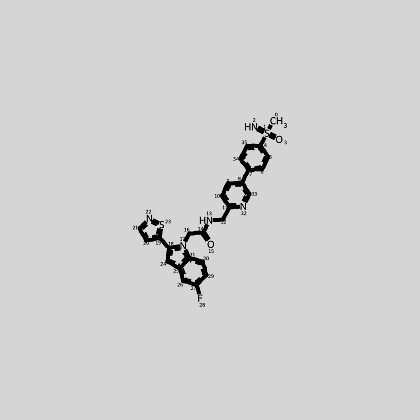 CS(=N)(=O)c1ccc(-c2ccc(CNC(=O)Cn3c(-c4ccns4)cc4cc(F)ccc43)nc2)cc1